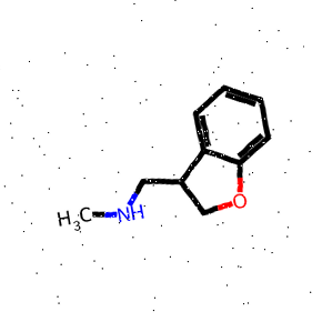 CNCC1COc2ccccc21